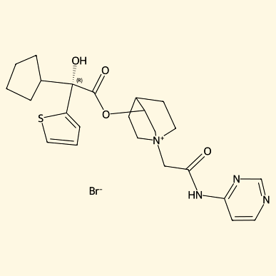 O=C(C[N+]12CCC(CC1)C(OC(=O)[C@@](O)(c1cccs1)C1CCCC1)C2)Nc1ccncn1.[Br-]